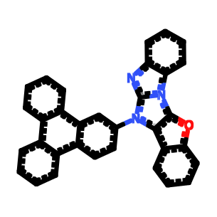 c1ccc2c(c1)nc1n(-c3ccc4c5ccccc5c5ccccc5c4c3)c3c4ccccc4oc3n21